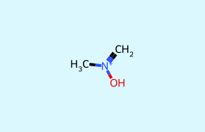 C=[N+](C)O